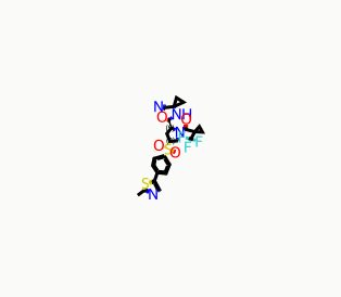 Cc1ncc(-c2ccc(S(=O)(=O)[C@@H]3C[C@@H](C(=O)NC4(C#N)CC4)N(C(=O)C4(C(F)(F)F)CC4)C3)cc2)s1